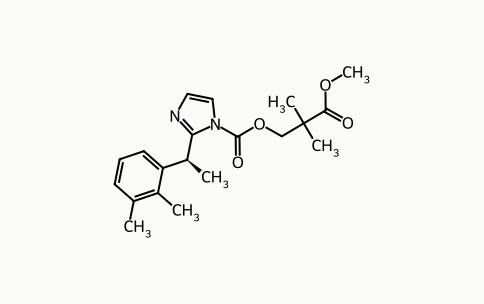 COC(=O)C(C)(C)COC(=O)n1ccnc1[C@@H](C)c1cccc(C)c1C